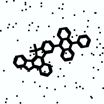 CC1(C)c2ccc(-c3c4ccccc4c(-c4ccccc4)c4ccccc34)cc2-c2c1c1c3ccccc3sc1c1ccccc21